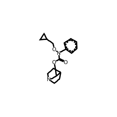 O=C(OC1CN2CCC1CC2)N(OCC1CC1)c1ccccc1